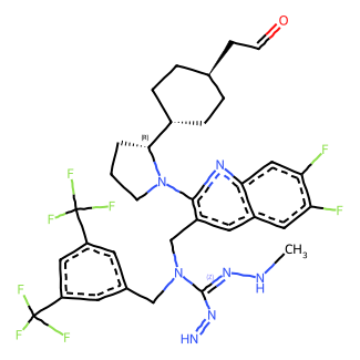 CN/N=C(\N=N)N(Cc1cc(C(F)(F)F)cc(C(F)(F)F)c1)Cc1cc2cc(F)c(F)cc2nc1N1CCC[C@@H]1[C@H]1CC[C@H](CC=O)CC1